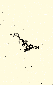 COCCNCCNC(=O)CC1CC(=O)Oc2cc(O)ccc21